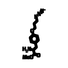 COC(=O)C(N)Cc1ccc(OCCCN=[N+]=[N-])cc1